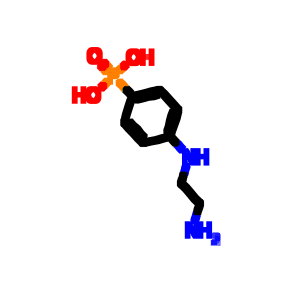 NCCNc1ccc(P(=O)(O)O)cc1